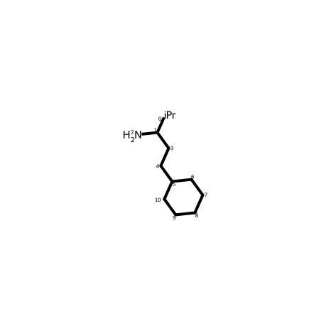 CC(C)C(N)CCC1CCCCC1